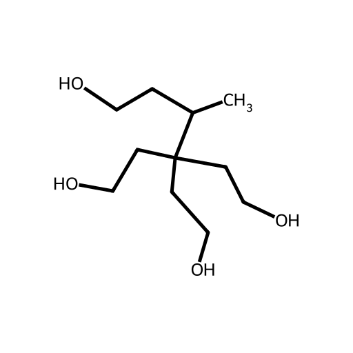 CC(CCO)C(CCO)(CCO)CCO